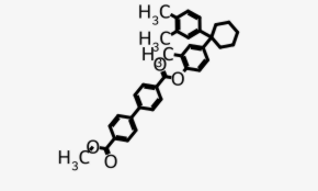 COC(=O)c1ccc(-c2ccc(C(=O)Oc3ccc(C4(c5ccc(C)c(C)c5)CCCCC4)cc3C)cc2)cc1